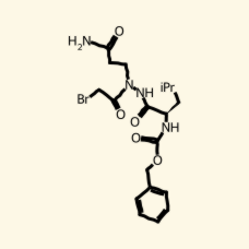 CC(C)C[C@@H](NC(=O)OCc1ccccc1)C(=O)NN(CCC(N)=O)C(=O)CBr